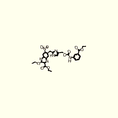 CCOC(=O)c1cccc(NC(=O)OCc2c[nH]c(Cc3cc4nc(C(=O)OCC)c(OCC)nc4cc3[N+](=O)[O-])n2)c1